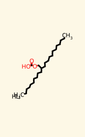 CCCCCCCCCCCCC(CCCCCCCCCC)COC(=O)O.[LiH]